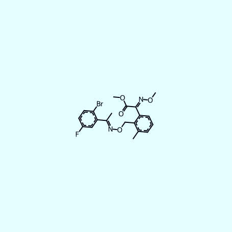 CO/N=C(/C(=O)OC)c1cccc(C)c1CO/N=C(\C)c1cc(F)ccc1Br